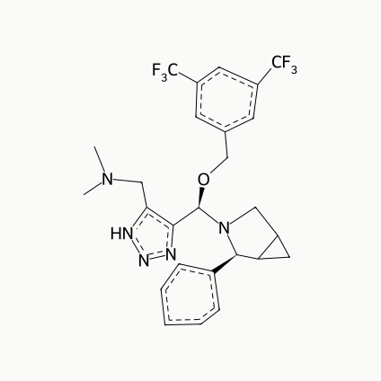 CN(C)Cc1[nH]nnc1[C@@H](OCc1cc(C(F)(F)F)cc(C(F)(F)F)c1)N1CC2CC2[C@H]1c1ccccc1